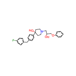 OC(COc1ccccc1)CN1CCC(O)(c2ccc(Cc3ccc(F)cc3)cc2)CC1